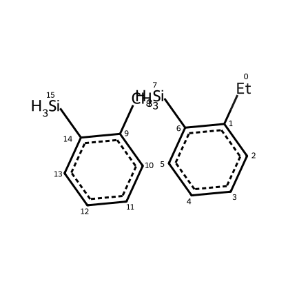 CCc1ccccc1[SiH3].Cc1ccccc1[SiH3]